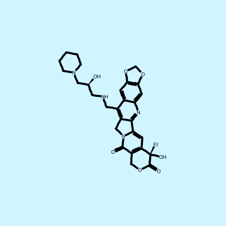 CC[C@@]1(O)C(=O)OCc2c1cc1n(c2=O)Cc2c-1nc1cc3c(cc1c2CNC[C@H](O)CN1CCCCC1)OCO3